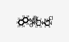 CC(C)C1CN(c2ccnc(Cl)n2)CCN1C(=O)Nc1ccc2ccccc2c1